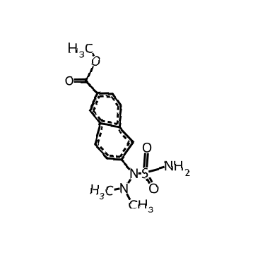 COC(=O)c1ccc2cc(N(N(C)C)S(N)(=O)=O)ccc2c1